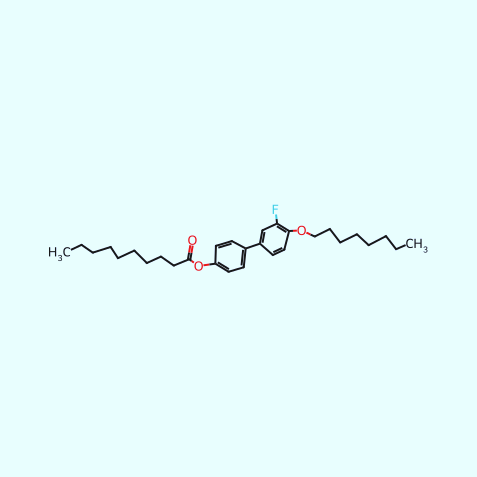 CCCCCCCCCC(=O)Oc1ccc(-c2ccc(OCCCCCCCC)c(F)c2)cc1